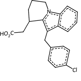 O=C(O)CC1CCCn2c1c(Cc1ccc(Cl)cc1)c1ccccc12